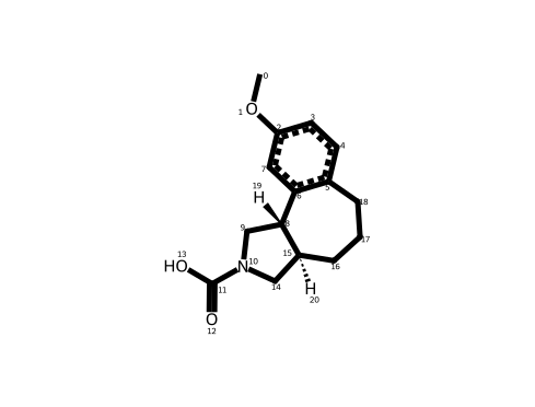 COc1ccc2c(c1)[C@H]1CN(C(=O)O)C[C@@H]1CCC2